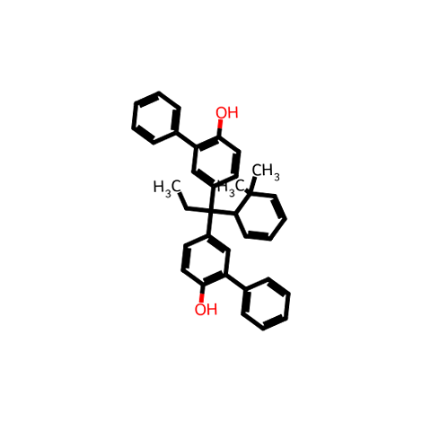 CCC(c1ccc(O)c(-c2ccccc2)c1)(c1ccc(O)c(-c2ccccc2)c1)C1C=CC=CC1(C)C